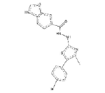 Cc1nc(NNC(=O)c2ccc3[nH]cnc3c2)sc1-c1ccc(Br)cc1